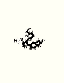 CCc1cccc(-c2c(-c3ccc4nn(C)cc4c3)nsc2N)n1